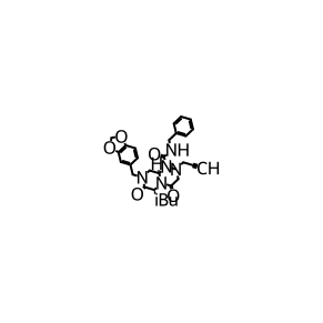 C#CCN1CC(=O)N2[C@@H](C(C)CC)C(=O)N(Cc3ccc4c(c3)OCO4)C[C@@H]2N1C(=O)NCc1ccccc1